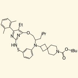 CCc1c2nc(nc1-c1c(C)cccc1C)NSc1cccc(c1)N(C1CC3(CCN(C(=O)OC(C)(C)C)CC3)C1)C(CC(C)C)CO2